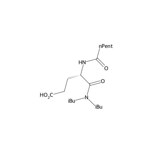 CCCCCC(=O)N[C@@H](CCC(=O)O)C(=O)N(C(C)CC)C(C)CC